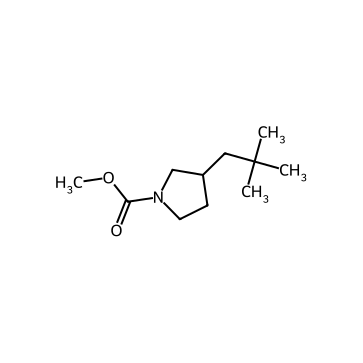 COC(=O)N1CCC(CC(C)(C)C)C1